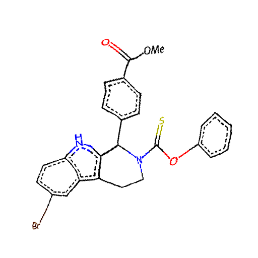 COC(=O)c1ccc(C2c3[nH]c4ccc(Br)cc4c3CCN2C(=S)Oc2ccccc2)cc1